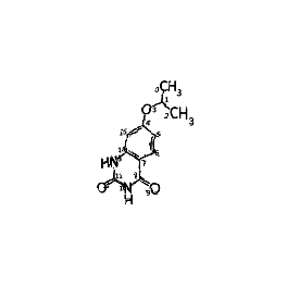 CC(C)Oc1ccc2c(=O)[nH]c(=O)[nH]c2c1